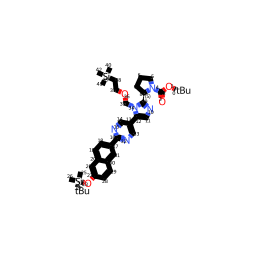 CC(C)(C)OC(=O)N1CCC[C@H]1c1ncc(-c2cnc(-c3ccc4cc(O[Si](C)(C)C(C)(C)C)ccc4c3)nc2)n1COCC[Si](C)(C)C